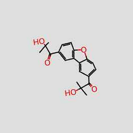 CC(C)(O)C(=O)c1ccc2oc3ccc(C(=O)C(C)(C)O)cc3c2c1